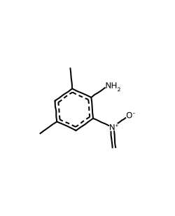 C=[N+]([O-])c1cc(C)cc(C)c1N